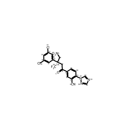 N#Cc1cc(C(=O)C[C@](C[N+](=O)[O-])(c2cc(Cl)cc(Cl)c2)C(F)(F)F)ccc1-n1cncn1